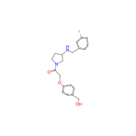 O=C(COc1ccc(CO)cc1)N1CCC(NCc2cccc(F)c2)C1